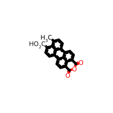 Cc1ccc2c3ccc4c5c(ccc(c6ccc(C(=O)O)c1c26)c53)C(=O)OC4=O